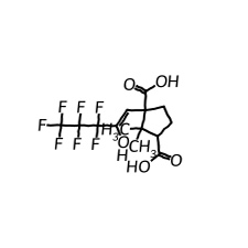 CC1(C)C(C(=O)O)CCC1(C=C(O)C(F)(F)C(F)(F)C(F)(F)F)C(=O)O